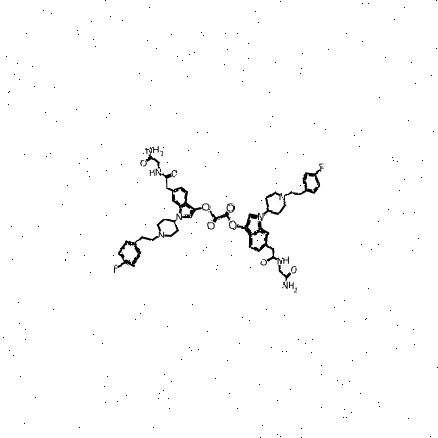 NC(=O)CNC(=O)Cc1ccc2c(OC(=O)C(=O)Oc3cn(C4CCN(CCc5ccc(F)cc5)CC4)c4cc(CC(=O)NCC(N)=O)ccc34)cn(C3CCN(CCc4ccc(F)cc4)CC3)c2c1